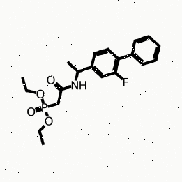 CCOP(=O)(CC(=O)NC(C)c1ccc(-c2ccccc2)c(F)c1)OCC